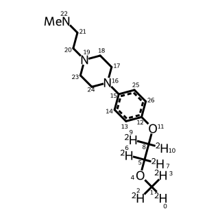 [2H]C([2H])([2H])OC([2H])([2H])C([2H])([2H])Oc1ccc(N2CCN(CCNC)CC2)cc1